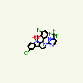 Oc1c(F)cccc1C1c2[nH]c3ccc(Cl)cc3c2CCN1c1nccc(C(F)(F)F)n1